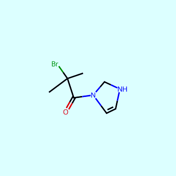 CC(C)(Br)C(=O)N1C=CNC1